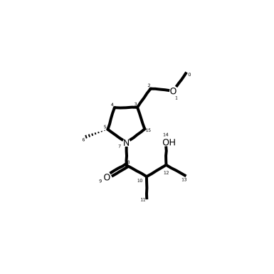 COCC1C[C@@H](C)N(C(=O)C(C)C(C)O)C1